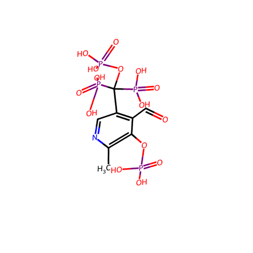 Cc1ncc(C(OP(=O)(O)O)(P(=O)(O)O)P(=O)(O)O)c(C=O)c1OP(=O)(O)O